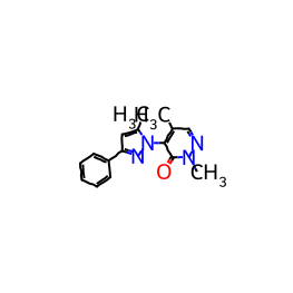 Cc1cnn(C)c(=O)c1-n1nc(-c2ccccc2)cc1C